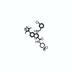 Cc1noc(C)c1-c1ccc2nc(C(=O)NC3CCS(=O)(=O)CC3)cc(NCc3cccc(Cl)c3)c2c1